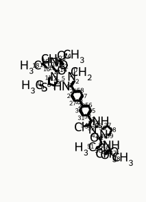 C=N/C=C(\NC[C@@H]1C[C@H](SC)CN1C(=O)[C@H](CC(C)C)NC(=O)OC)c1ccc(-c2ccc(-c3[nH]c([C@@H]4CCCN4C(=O)[C@@H](NC(=O)OC)C(C)C)nc3Cl)cc2)cc1